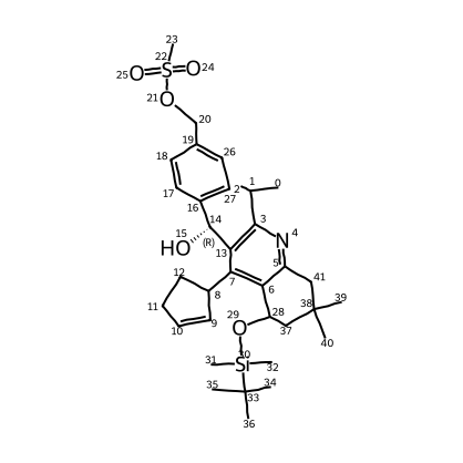 CC(C)c1nc2c(c(C3C=CCC3)c1[C@H](O)c1ccc(COS(C)(=O)=O)cc1)C(O[Si](C)(C)C(C)(C)C)CC(C)(C)C2